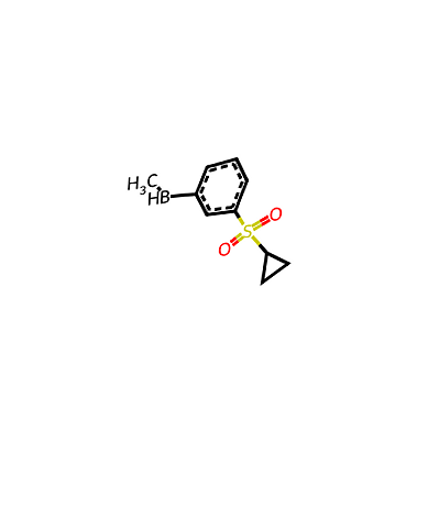 CBc1cccc(S(=O)(=O)C2CC2)c1